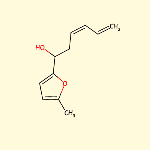 C=C/C=C\CC(O)c1ccc(C)o1